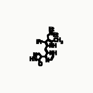 CCN(CC)Cc1c(C)[nH]c(C=C2NC=CN=C2C2C=NNC2=O)c1C(C)C